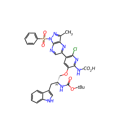 Cc1nn(S(=O)(=O)c2ccccc2)c2ncc(-c3cc(OC[C@@H](Cc4c[nH]c5ccccc45)NC(=O)OC(C)(C)C)c(NC(=O)O)nc3Cl)nc12